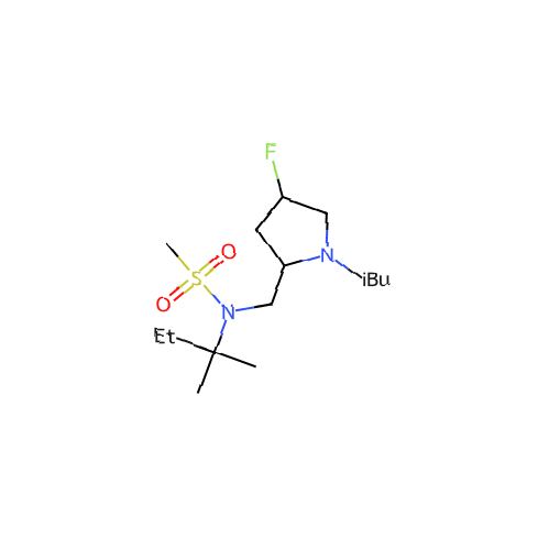 CCC(C)N1CC(F)CC1CN(C(C)(C)CC)S(C)(=O)=O